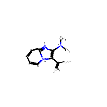 C=C(C(=O)OCC)c1c(N(C)C)nc2ccccn12